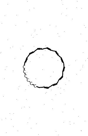 [C]1=C/C=C/C=C/C=C/C=C\C=C\C=C\C=C\C=C\C=C/CCCCCCC/1